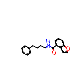 O=C(NCCCCc1ccccc1)c1cccc2occc12